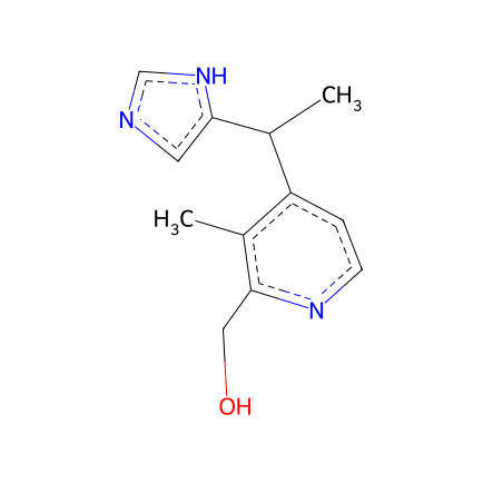 Cc1c(C(C)c2cnc[nH]2)ccnc1CO